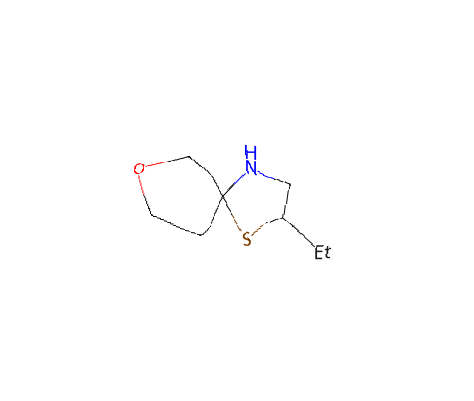 CCC1CNC2(CCOC2)S1